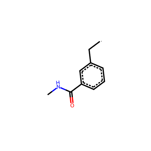 [CH2]Cc1cccc(C(=O)NC)c1